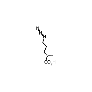 CN(CCCN=[N+]=[N-])C(=O)O